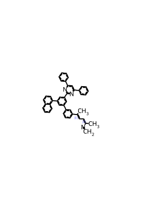 C=N/C(C)=C\C=C(/C)c1cccc(-c2cc(-c3nc(-c4ccccc4)cc(-c4ccccc4)n3)cc(-c3cccc4ccccc34)c2)c1